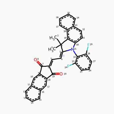 CC1(C)/C(=C\C=C2C(=O)c3cc4ccccc4cc3C2=O)N(c2c(F)cccc2F)c2ccc3ccccc3c21